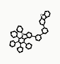 c1ccc(-c2c(-c3ccccc3)c(-c3ccccc3)c3c(c2-c2ccccc2)c2cc(-c4cccc(-c5cccc(-c6ccc7oc8ccccc8c7c6)c5)c4)ccc2n3-c2ccccc2)cc1